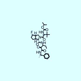 CCC(NC(=O)[C@@H]1[C@H]2CC[C@H](F)[C@H]2CN1C(=O)[C@@H](NC(=O)OC(C)C)C(C)(C)C)C(=O)C(=O)N[C@@H](C)c1ccccc1